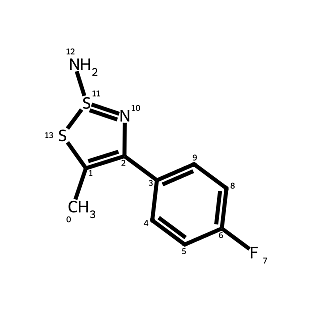 CC1=C(c2ccc(F)cc2)N=S(N)S1